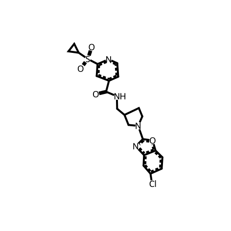 O=C(NCC1CCN(c2nc3cc(Cl)ccc3o2)C1)c1ccnc(S(=O)(=O)C2CC2)c1